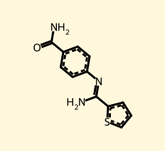 NC(=O)c1ccc(N=C(N)c2cccs2)cc1